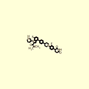 CN(C)C(=O)c1cc2c(-c3ccc(C4CCN(c5ccc(C6CCC(=O)NC6=O)cc5F)CC4)cc3)ccc(F)c2n1C1=CCCNC1